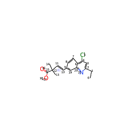 CCc1cc(Cl)c2ccc(/C=C/C(C)(C)C(=O)OC)cc2n1